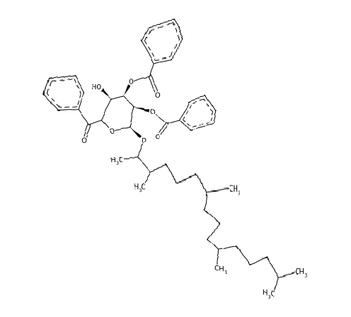 CC(C)CCCC(C)CCCC(C)CCCC(C)C(C)O[C@H]1OC(C(=O)c2ccccc2)[C@@H](O)[C@@H](OC(=O)c2ccccc2)[C@H]1OC(=O)c1ccccc1